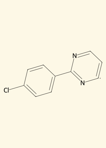 Clc1ccc(-c2n[c]ccn2)cc1